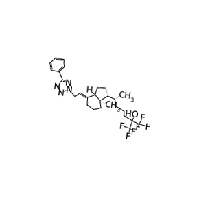 C[C@H](CCCC(O)(C(F)(F)F)C(F)(F)F)[C@H]1CC[C@H]2/C(=C/Cn3nnc(-c4ccccc4)n3)CCC[C@]12C